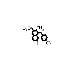 Cc1c(CC(=O)O)cc2ccc(F)cc2c1Cc1ccc(C#N)cc1